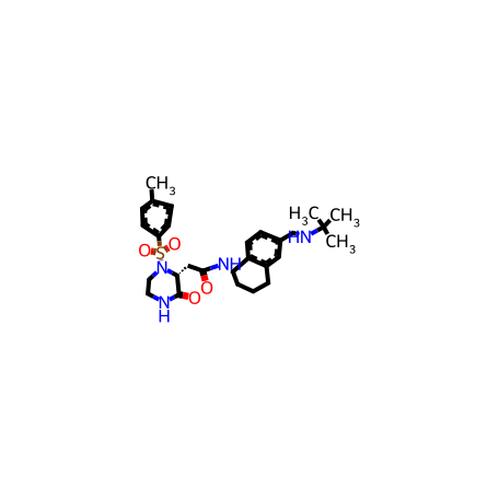 Cc1ccc(S(=O)(=O)N2CCNC(=O)[C@H]2CC(=O)N[C@@H]2CCCc3cc(CNC(C)(C)C)ccc32)cc1